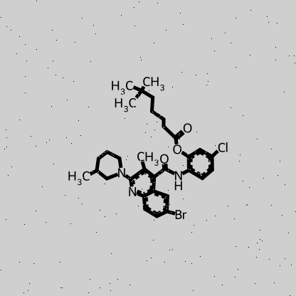 Cc1c(N2CCCC(C)C2)nc2ccc(Br)cc2c1C(=O)Nc1ccc(Cl)cc1OC(=O)CCCCC(C)(C)C